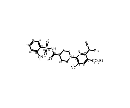 CCOC(=O)c1cc(C#N)c(N2CCC(C(=O)NS(=O)(=O)c3ccccc3C#N)CC2)nc1C(F)F